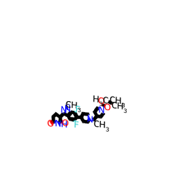 C[C@H](C1CCN(C(=O)OC(C)(C)C)CC1)N1CCC(c2c(F)cc3c(C4CCC(=O)NC4=O)nn(C)c3c2F)CC1